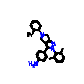 Cc1cccc(C)c1-n1nc2c(c1-c1ccc(N)cc1)CN(c1ccccc1C(C)C)C2